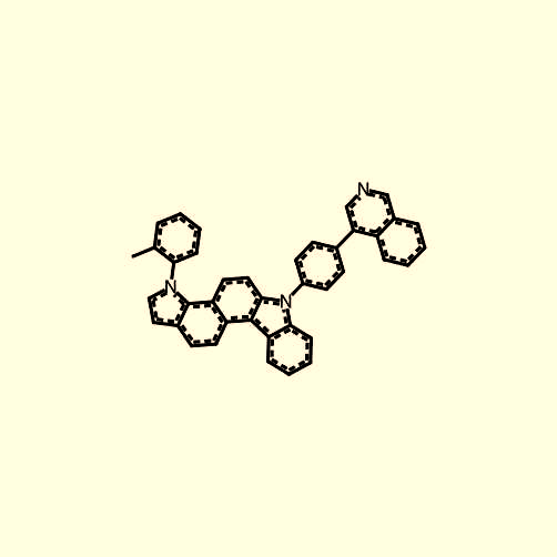 Cc1ccccc1-n1ccc2ccc3c(ccc4c3c3ccccc3n4-c3ccc(-c4cncc5ccccc45)cc3)c21